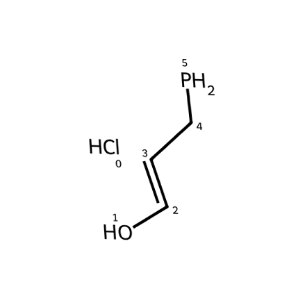 Cl.OC=CCP